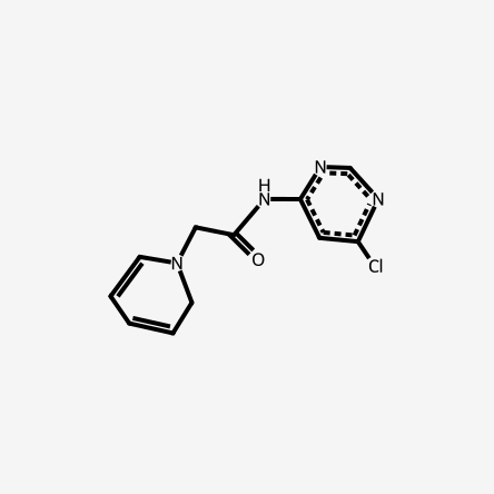 O=C(CN1C=CC=CC1)Nc1cc(Cl)ncn1